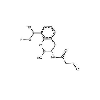 CCOC(O)c1cccc2c1OB(O)[C@@H](NC(=O)CCC(C)=O)C2